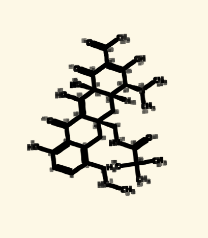 CNCc1ccc(O)c2c1C[C@@]1(CNC(=O)C(C)(C)C)C[C@H]3[C@H](N(C)C)C(O)=C(C(C)=O)C(=O)[C@@]3(O)C(O)=C1C2=O